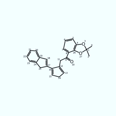 CC1(C)Oc2cccc(C(=O)CC3=CCC=C3C3=Cc4ccccc4C3)c2O1